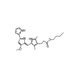 CCCCOC(=O)CCc1c(C)[nH]c(/C=C2\N=C(c3ccc[nH]3)C=C2OC)c1C